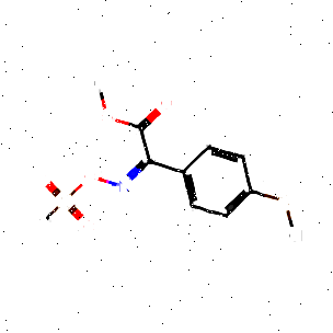 COC(=O)/C(=N\OS(C)(=O)=O)c1ccc(SC)cc1